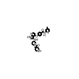 Cc1ccnc(NC(=O)c2ccc(Oc3ccnc4[nH]nc(NC5CCCN(C(=O)C6(C)CCNCC6)C5)c34)cc2)c1